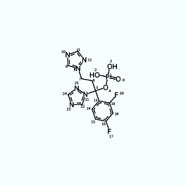 O=P(O)(O)OC(CCn1cncn1)(c1ccc(F)cc1F)n1cncn1